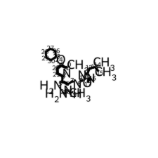 Cc1nc(/C(N)=C(\CNc2nc(CC(C)C)no2)N(C)N)ccc1OC1CCCCC1